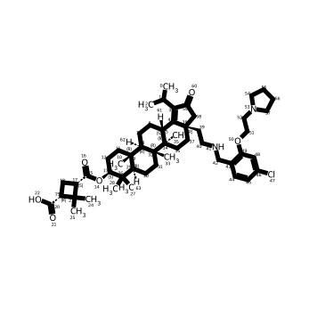 CC(C)C1=C2[C@H]3CC[C@@H]4[C@@]5(C)CC[C@H](OC(=O)[C@H]6C[C@@H](C(=O)O)C6(C)C)C(C)(C)[C@@H]5CC[C@@]4(C)[C@]3(C)CC[C@@]2(CCNCc2ccc(Cl)cc2OCCN2CCCC2)CC1=O